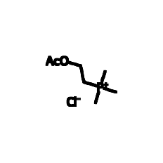 CC(=O)OCC[P+](C)(C)C.[Cl-]